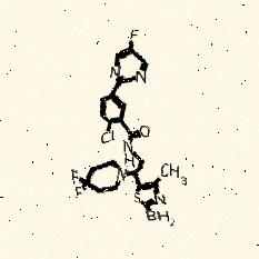 Bc1nc(C)c(C(CNC(=O)c2cc(-c3ncc(F)cn3)ccc2Cl)N2CCC(F)(F)CC2)s1